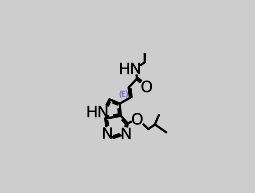 CCNC(=O)/C=C/c1c[nH]c2ncnc(OCC(C)C)c12